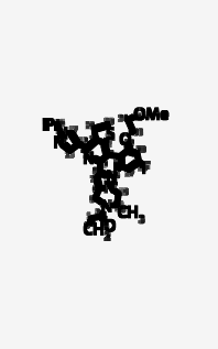 C=CC(=O)N1Cc2cc(-c3nc(-c4cnn(C(C)C)c4)c4ccsc4c3-c3c(F)cc(F)cc3OCCOC)nn2CC1C